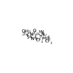 O=c1c(-c2cnn(CC(F)(F)C(F)(F)F)c2)c(C(F)(F)F)nc2sc(CO)cn12